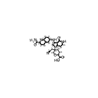 N#CCC1(n2nc(Nc3ccc4nc(C(N)=O)ccc4c3)c3c(=O)[nH]ccc32)CCC(C(=O)O)OC1